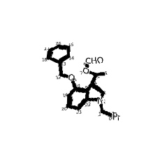 CC(C)Cn1cc(C(C)OC=O)c2c(OCc3ccccc3)cccc21